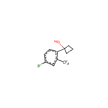 OC1(c2ccc(Br)cc2C(F)(F)F)CCC1